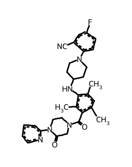 Cc1cc(C)c(C(=O)N2CCN(c3ccccn3)C(=O)C2)c(C)c1NC1CCN(c2ccc(F)cc2C#N)CC1